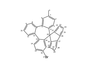 Cc1ccc2c(c1)-c1ccccc1-c1ccc(Br)cc1C21c2ccccc2-c2ccccc21